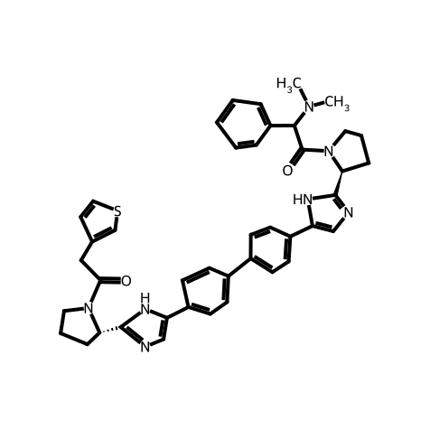 CN(C)C(C(=O)N1CCC[C@H]1c1ncc(-c2ccc(-c3ccc(-c4cnc([C@@H]5CCCN5C(=O)Cc5ccsc5)[nH]4)cc3)cc2)[nH]1)c1ccccc1